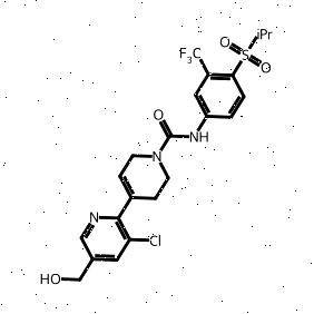 CC(C)S(=O)(=O)c1ccc(NC(=O)N2CC=C(c3ncc(CO)cc3Cl)CC2)cc1C(F)(F)F